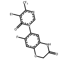 CCc1c(C(F)(F)F)ncn(-c2cc3c(cc2F)OCC(=O)N3)c1=O